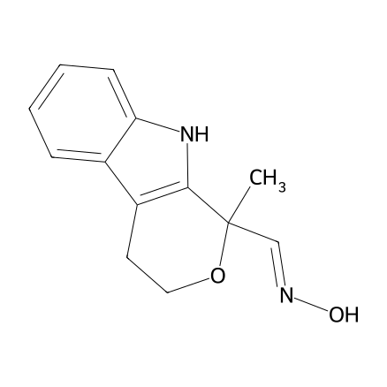 CC1(C=NO)OCCc2c1[nH]c1ccccc21